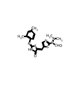 Cc1ccc(/N=C2/NC(=O)/C(=C/c3cnc(N(C=O)N(C)C)s3)S2)c(C)c1